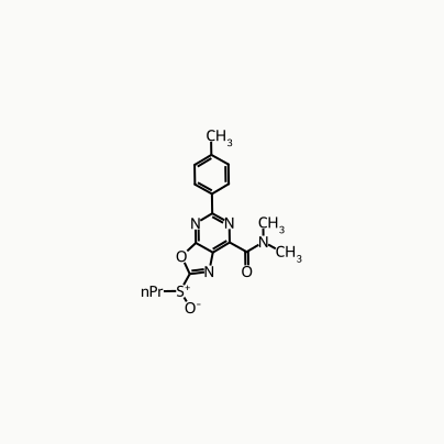 CCC[S+]([O-])c1nc2c(C(=O)N(C)C)nc(-c3ccc(C)cc3)nc2o1